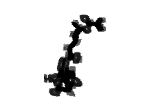 C=C(C)C(=O)OC(C)CCCC(=O)OC1C2OC(=O)C3C2OC1C3C(=O)O